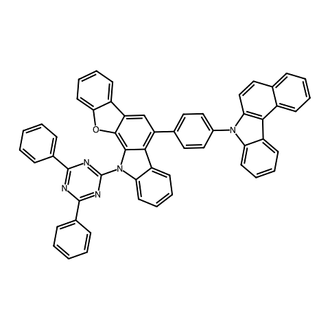 c1ccc(-c2nc(-c3ccccc3)nc(-n3c4ccccc4c4c(-c5ccc(-n6c7ccccc7c7c8ccccc8ccc76)cc5)cc5c6ccccc6oc5c43)n2)cc1